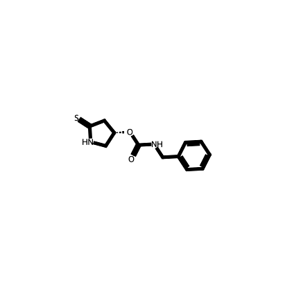 O=C(NCc1ccccc1)O[C@@H]1CNC(=S)C1